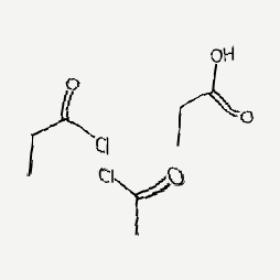 CC(=O)Cl.CCC(=O)Cl.CCC(=O)O